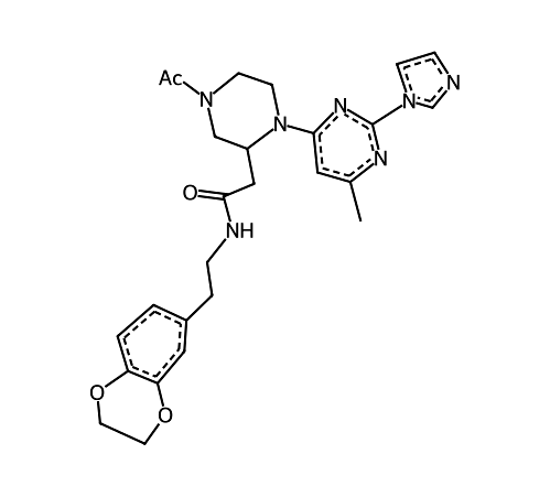 CC(=O)N1CCN(c2cc(C)nc(-n3ccnc3)n2)C(CC(=O)NCCc2ccc3c(c2)OCCO3)C1